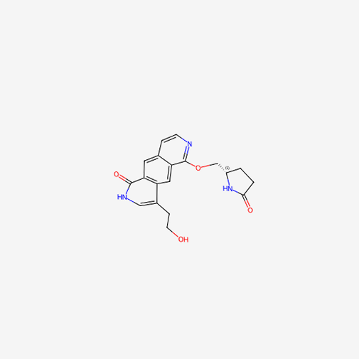 O=C1CC[C@@H](COc2nccc3cc4c(=O)[nH]cc(CCO)c4cc23)N1